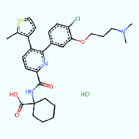 Cc1sccc1-c1ccc(C(=O)NC2(C(=O)O)CCCCC2)nc1-c1ccc(Cl)c(OCCCN(C)C)c1.Cl